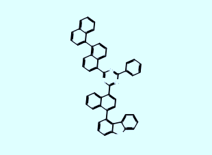 c1ccc(-c2nc(-c3cccc4c(-c5cccc6ccccc56)cccc34)nc(-c3ccc(-c4cccc5oc6ccccc6c45)c4ccccc34)n2)cc1